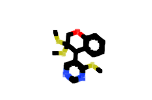 CSc1ncncc1C1c2ccccc2OCC1(SC)SC